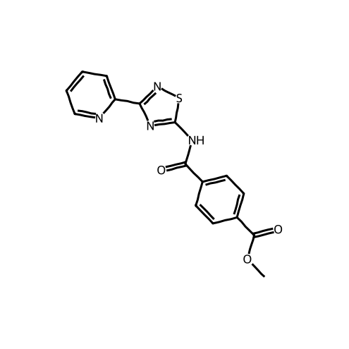 COC(=O)c1ccc(C(=O)Nc2nc(-c3ccccn3)ns2)cc1